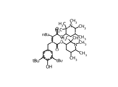 CCCCC(C(=O)OC1CC(C)C(C)N(C)C1(C)C)=C(Cc1cc(C(C)(C)C)c(O)c(C(C)(C)C)c1)C(=O)OC1CC(C)C(C)N(C)C1(C)C